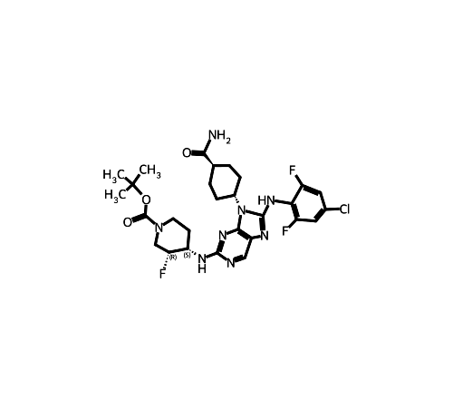 CC(C)(C)OC(=O)N1CC[C@H](Nc2ncc3nc(Nc4c(F)cc(Cl)cc4F)n([C@H]4CC[C@H](C(N)=O)CC4)c3n2)[C@H](F)C1